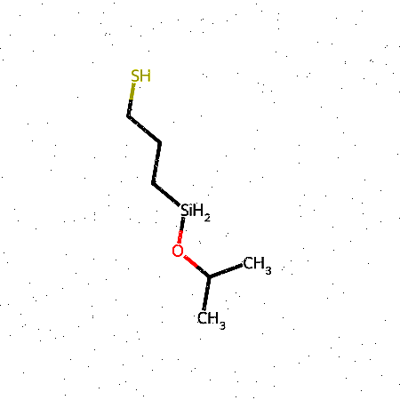 CC(C)O[SiH2]CCCS